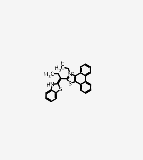 CCC(=C1Nc2ccccc2S1)c1sc2c3ccccc3c3ccccc3c2[n+]1CC.[I-]